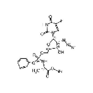 CC(C)OC(=O)[C@H](C)N[P@@](=O)(OC[C@H]1O[C@@H](n2cc(F)c(=O)[nH]c2=O)[C@H](N=[N+]=[N-])[C@@H]1O)Oc1ccccc1